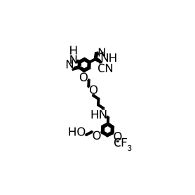 N#Cc1[nH]ncc1-c1cc(OCCOCCCCNCc2cc(OCCO)cc(OC(F)(F)F)c2)c2cn[nH]c2c1